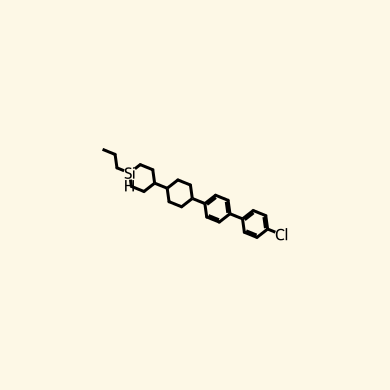 CCC[SiH]1CCC(C2CCC(c3ccc(-c4ccc(Cl)cc4)cc3)CC2)CC1